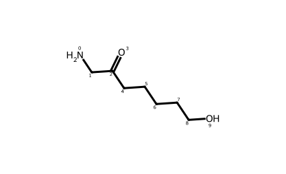 NCC(=O)CCCCCO